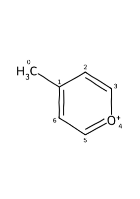 Cc1cc[o+]cc1